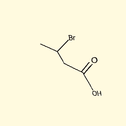 CC(Br)CC(=O)O